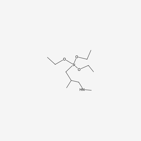 CCO[Si](CC(C)CNC)(OCC)OCC